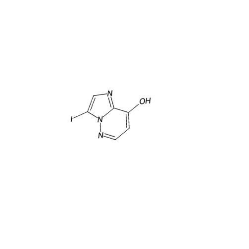 Oc1ccnn2c(I)cnc12